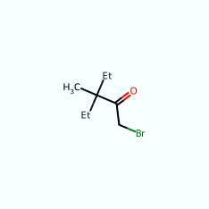 CCC(C)(CC)C(=O)CBr